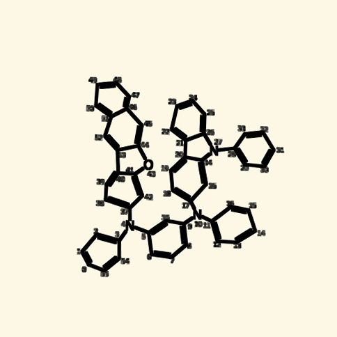 c1ccc(N(c2cccc(N(c3ccccc3)c3ccc4c5ccccc5n(-c5ccccc5)c4c3)c2)c2ccc3c(c2)oc2cc4ccccc4cc23)cc1